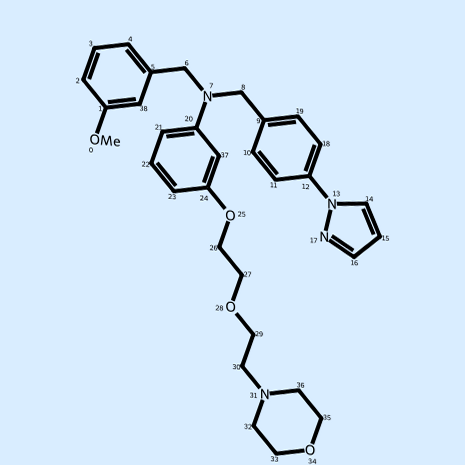 COc1cccc(CN(Cc2ccc(-n3cccn3)cc2)c2cccc(OCCOCCN3CCOCC3)c2)c1